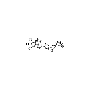 CS(=O)(=O)CC(=O)N1CC2(C1)OCc1cc(C3=NOC(c4cc(Cl)c(Cl)c(Cl)c4)(C(F)(F)F)C3)ncc12